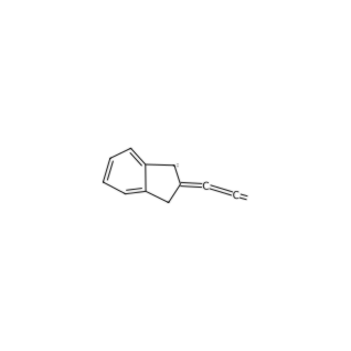 C=C=C=C1[C]c2ccccc2C1